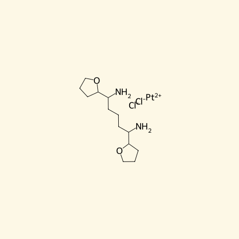 NC(CCCC(N)C1CCCO1)C1CCCO1.[Cl-].[Cl-].[Pt+2]